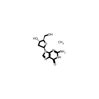 C.Nc1nc2c(ncn2[C@H]2C[C@H](O)[C@@H](CO)O2)c(=O)[nH]1